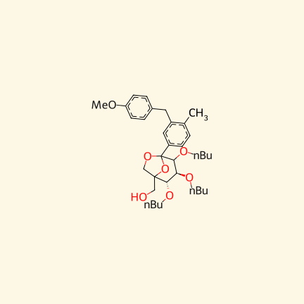 CCCCOC1[C@@H](OCCCC)[C@H](OCCCC)C2(CO)COC1(c1ccc(C)c(Cc3ccc(OC)cc3)c1)O2